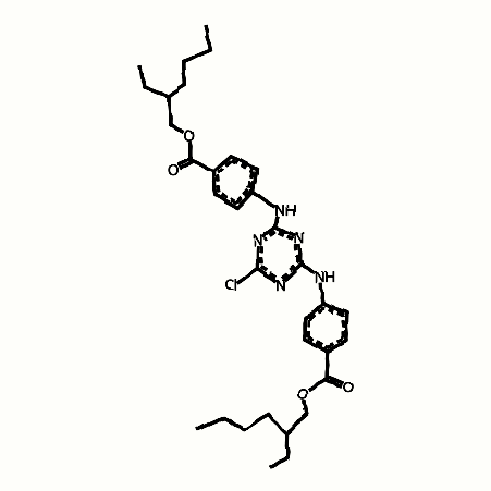 CCCCC(CC)COC(=O)c1ccc(Nc2nc(Cl)nc(Nc3ccc(C(=O)OCC(CC)CCCC)cc3)n2)cc1